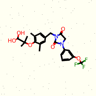 Cc1cc(CN2C(=O)CN(c3cccc(OC(F)(F)F)c3)C2=O)cc(C)c1OC(C)(C)C(O)O